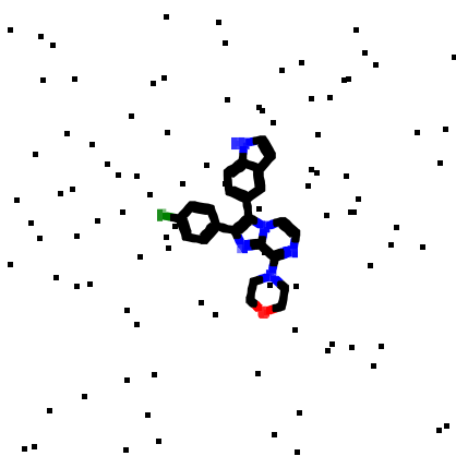 Fc1ccc(-c2nc3c(N4CCOCC4)nccn3c2-c2ccc3[nH]ccc3c2)cc1